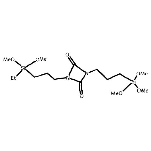 CC[Si](CCCN1C(=O)N(CCC[Si](OC)(OC)OC)C1=O)(OC)OC